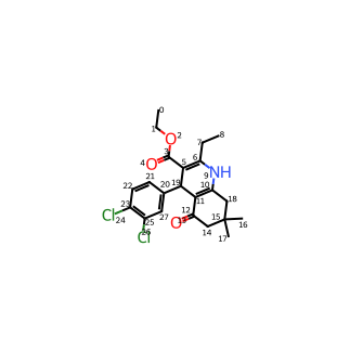 CCOC(=O)C1=C(CC)NC2=C(C(=O)CC(C)(C)C2)C1c1ccc(Cl)c(Cl)c1